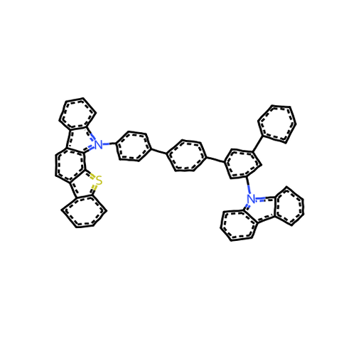 c1ccc(-c2cc(-c3ccc(-c4ccc(-n5c6ccccc6c6ccc7c8ccccc8sc7c65)cc4)cc3)cc(-n3c4ccccc4c4ccccc43)c2)cc1